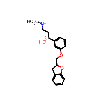 O=C(O)NCC[C@@H](O)c1cccc(OCC2Cc3ccccc3O2)c1